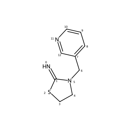 N=C1SCCN1Cc1cccnc1